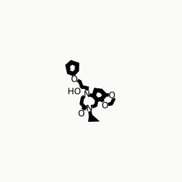 O=C1CCN(CC(O)COc2ccccc2)c2ccc3c(c2CN1C1CC1)OCCO3